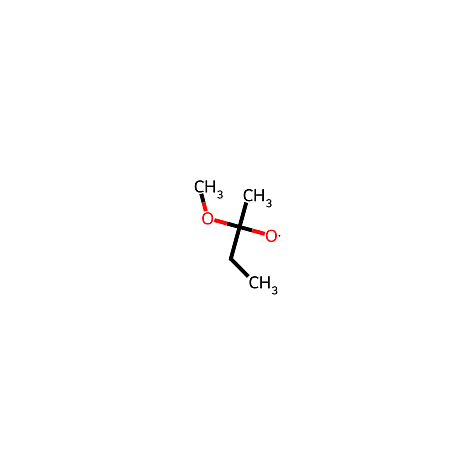 CCC(C)([O])OC